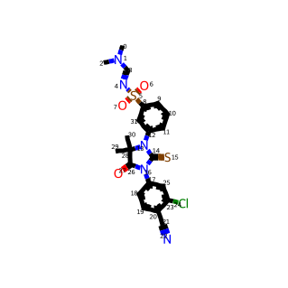 CN(C)/C=N/S(=O)(=O)c1cccc(N2C(=S)N(c3ccc(C#N)c(Cl)c3)C(=O)C2(C)C)c1